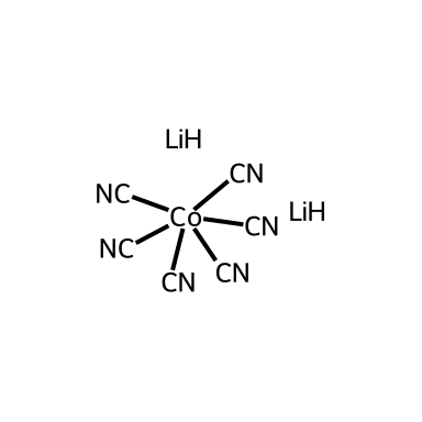 N#[C][Co]([C]#N)([C]#N)([C]#N)([C]#N)[C]#N.[LiH].[LiH]